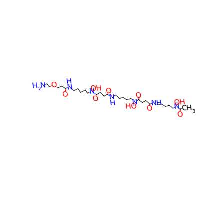 CC(=O)N(O)CCCCCNC(=O)CCC(=O)N(O)CCCCCNC(=O)CCC(=O)N(O)CCCCCNC(=O)CCOCCN